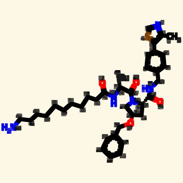 Cc1ncsc1-c1ccc(CNC(=O)[C@@H]2C[C@@H](OCc3ccccc3)CN2C(=O)[C@@H](NC(=O)CCCCCCCCCCN)C(C)(C)C)cc1